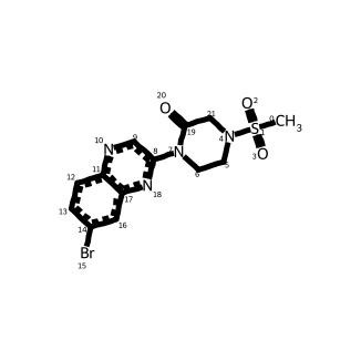 CS(=O)(=O)N1CCN(c2cnc3ccc(Br)cc3n2)C(=O)C1